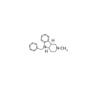 CN1CC[C@@H]2[C@H](C1)c1ccccc1N2Cc1ccccc1